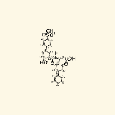 CS(=O)(=O)c1ccc(-c2ccc(O)c(C(=O)NC(CC(=O)O)c3ccc(-c4ccccc4)cc3)c2)cc1